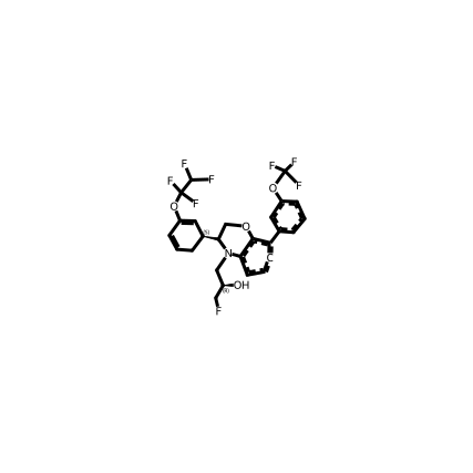 O[C@@H](CF)CN1c2cccc(-c3cccc(OC(F)(F)F)c3)c2OCC1[C@@H]1C=C(OC(F)(F)C(F)F)C=CC1